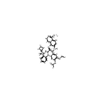 CCOc1cc([C@H](Nc2ccc3c(N)nccc3c2)C(=O)N(C)Cc2ccccc2S(=O)(=O)C2CCC2)ccc1OC(C)C